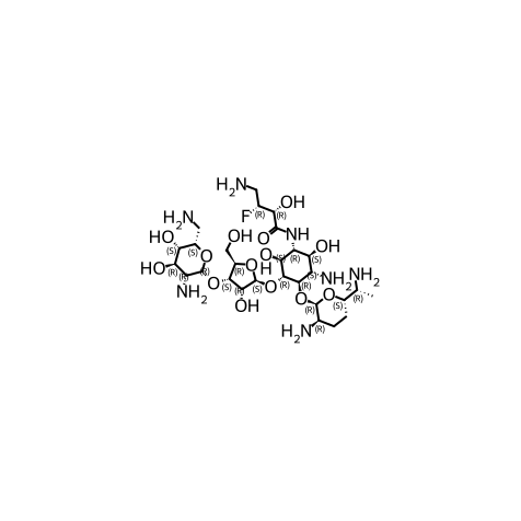 C[C@@H](N)[C@@H]1CC[C@@H](N)[C@@H](O[C@@H]2[C@@H](N)[C@H](O)[C@@H](NC(=O)[C@@H](O)[C@H](F)CN)[C@H](O)[C@H]2O[C@@H]2O[C@H](CO)[C@@H](O[C@H]3O[C@@H](CN)[C@@H](O)[C@H](O)[C@H]3N)[C@H]2O)O1